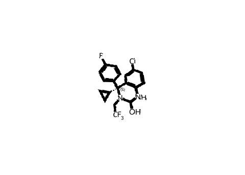 OC1Nc2ccc(Cl)cc2[C@@](c2ccc(F)cc2)(C2CC2)N1CC(F)(F)F